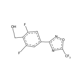 OCc1c(F)cc(-c2noc(C(F)(F)F)n2)cc1F